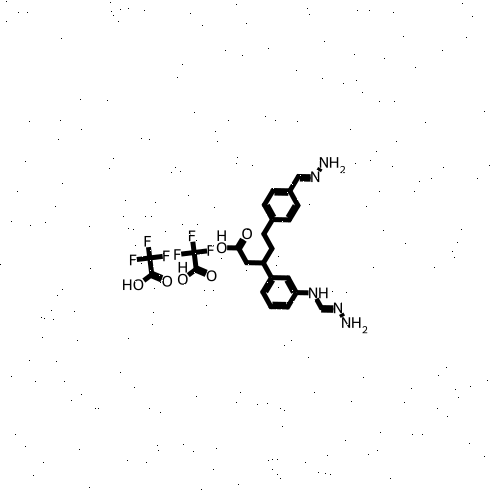 NN=CNc1cccc(C(CCc2ccc(C=NN)cc2)CC(=O)O)c1.O=C(O)C(F)(F)F.O=C(O)C(F)(F)F